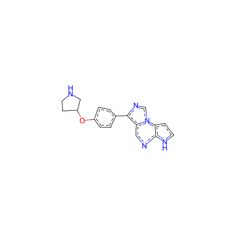 c1cc2c(ncc3c(-c4ccc(OC5CCNC5)cc4)ncn32)[nH]1